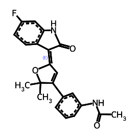 CC(=O)Nc1cccc(C2=C/C(=C3\C(=O)Nc4cc(F)ccc43)OC2(C)C)c1